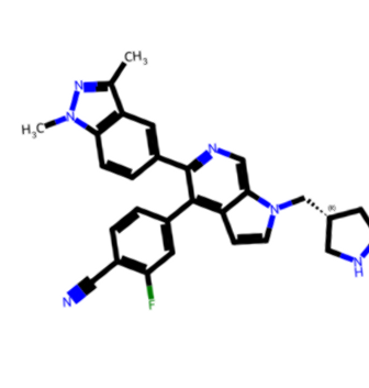 Cc1nn(C)c2ccc(-c3ncc4c(ccn4C[C@@H]4CCNC4)c3-c3ccc(C#N)c(F)c3)cc12